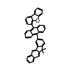 CC1(C)c2ccc(-c3c4ccccc4c(-c4cccc5c4oc4ccccc45)c4ccccc34)cc2-c2cc3ccccc3cc21